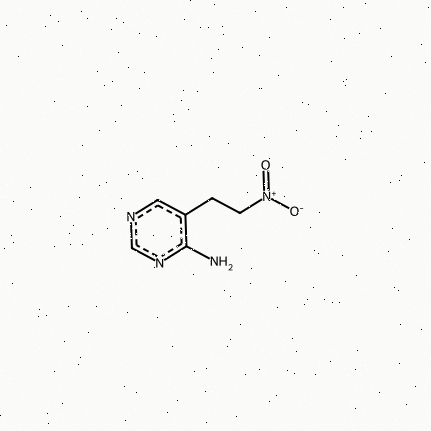 Nc1ncncc1CC[N+](=O)[O-]